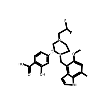 COc1cc(C)c2[nH]ccc2c1CN1CCN(CC(F)F)C[C@H]1c1ccc(C(=O)O)c(O)c1